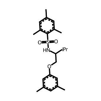 Cc1cc(C)cc(OCC(NS(=O)(=O)c2c(C)cc(C)cc2C)C(C)C)c1